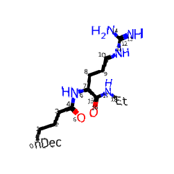 CCCCCCCCCCCCCC(=O)NC(CCCNC(=N)N)C(=O)NCC